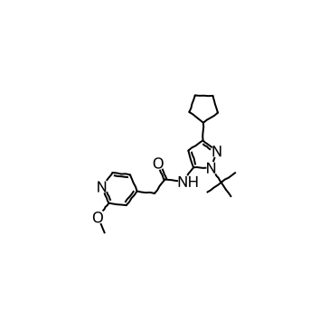 COc1cc(CC(=O)Nc2cc(C3CCCC3)nn2C(C)(C)C)ccn1